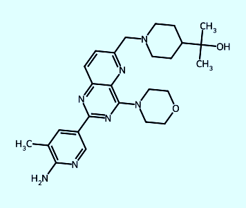 Cc1cc(-c2nc(N3CCOCC3)c3nc(CN4CCC(C(C)(C)O)CC4)ccc3n2)cnc1N